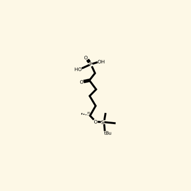 C[C@H](CCCC(=O)CP(=O)(O)O)O[Si](C)(C)C(C)(C)C